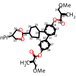 C=C(COC)C(=O)Oc1ccc(-c2ccc(OC(=O)C(=C)COC)cc2C2CCC(C3OCC(CCC)CO3)CC2)cc1